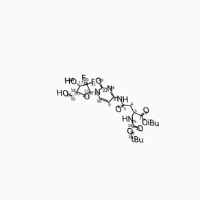 CC(C)COC(=O)C(CC(=O)Nc1ccn([C@@H]2O[C@H](CO)C(O)C2(F)F)c(=O)n1)NC(=O)OC(C)(C)C